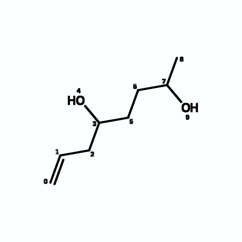 C=CCC(O)CCC(C)O